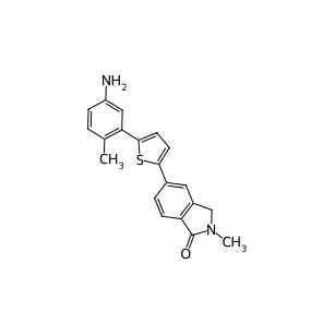 Cc1ccc(N)cc1-c1ccc(-c2ccc3c(c2)CN(C)C3=O)s1